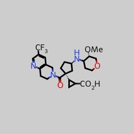 CO[C@@H]1COCCC1N[C@@H]1CC[C@@](C(=O)N2CCc3ncc(C(F)(F)F)cc3C2)(C2CC2C(=O)O)C1